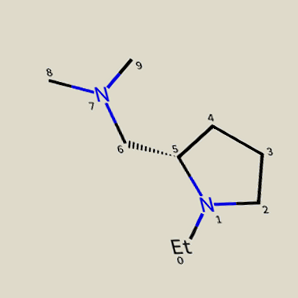 CCN1CCC[C@H]1CN(C)C